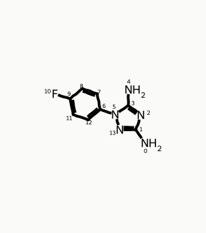 Nc1nc(N)n(-c2ccc(F)cc2)n1